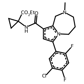 CCOC(=O)C1(NC(=O)c2cc(-c3cc(Cl)c(F)cc3F)n3c2CN(C)CCC3)CC1